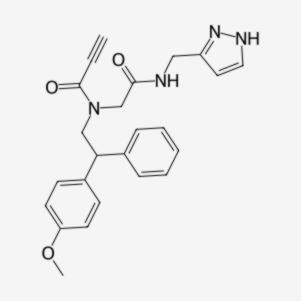 C#CC(=O)N(CC(=O)NCc1cc[nH]n1)CC(c1ccccc1)c1ccc(OC)cc1